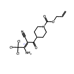 C=CCOC(=O)N1CCC(C(=O)/C(C#N)=C(\N)C(Cl)(Cl)Cl)CC1